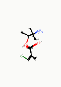 CC(=CCl)C(=O)OC(C)C(C)(C)N